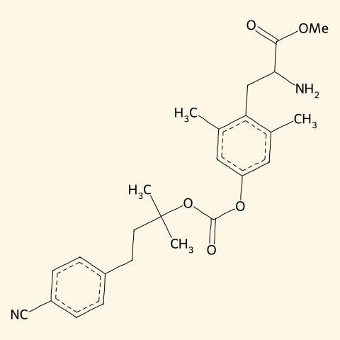 COC(=O)C(N)Cc1c(C)cc(OC(=O)OC(C)(C)CCc2ccc(C#N)cc2)cc1C